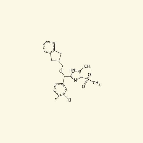 Cc1[nH]c(C(OCC2Cc3ccccc3C2)c2ccc(F)c(Cl)c2)nc1S(C)(=O)=O